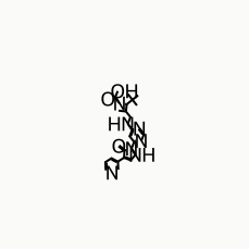 CC(C)(C)C1C(CNc2cc(-n3[nH]cc(-c4cccnc4)c3=O)ncn2)CN1C(=O)O